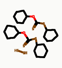 S=C(OC1CCCCC1)SC1CCCCC1.S=C(OC1CCCCC1)SC1CCCCC1.SS